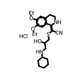 CCOc1cc2c(cc1OCC)C(=C(C#N)SCC(O)CNC1CCCCC1)NCC2.Cl